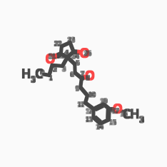 CCCCC1(CCC(=O)CCCc2cccc(OC)c2)C(=O)CCC1=O